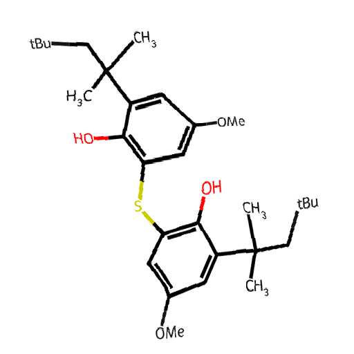 COc1cc(Sc2cc(OC)cc(C(C)(C)CC(C)(C)C)c2O)c(O)c(C(C)(C)CC(C)(C)C)c1